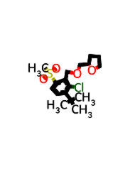 CC(C)(C)c1ccc(S(C)(=O)=O)c(COCC2CCCO2)c1Cl